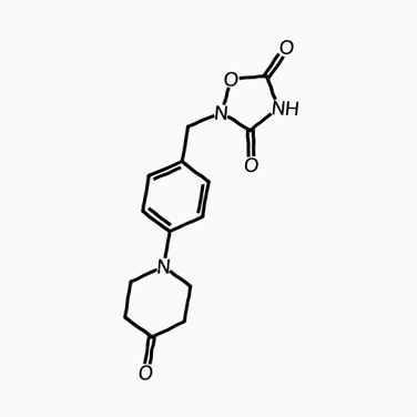 O=C1CCN(c2ccc(Cn3oc(=O)[nH]c3=O)cc2)CC1